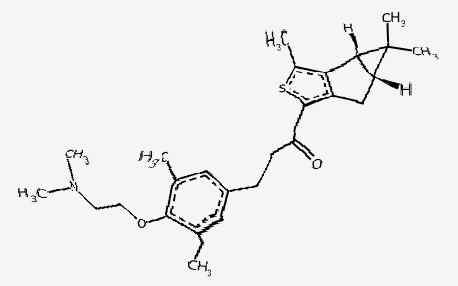 Cc1cc(CCC(=O)c2sc(C)c3c2C[C@@H]2[C@H]3C2(C)C)cc(C)c1OCCN(C)C